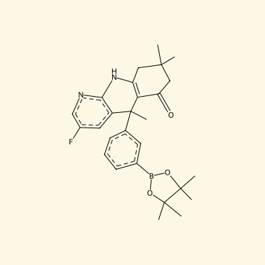 CC1(C)CC(=O)C2=C(C1)Nc1ncc(F)cc1C2(C)c1cccc(B2OC(C)(C)C(C)(C)O2)c1